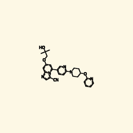 CC(C)(O)COc1cc(-c2ccc(N3CCC(Oc4ccccn4)CC3)nc2)n2c(C#N)cnc2c1